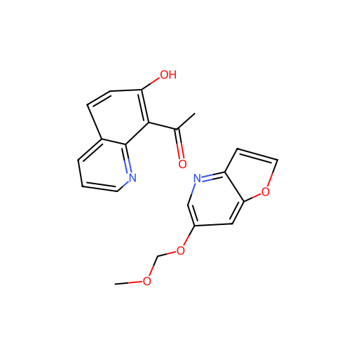 CC(=O)c1c(O)ccc2cccnc12.COCOc1cnc2ccoc2c1